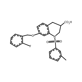 Cc1cccc(S(=O)(=O)N2CC(C(=O)O)Cc3ccc(OCc4ccccc4F)cc32)c1